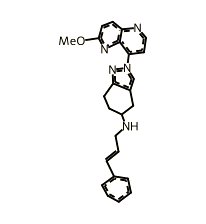 COc1ccc2nccc(-n3cc4c(n3)CCC(NCC=Cc3ccccc3)C4)c2n1